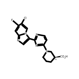 O=C(O)[C@H]1CCCN(c2ccnc(-c3cnc4cc(F)c(Cl)cn34)n2)C1